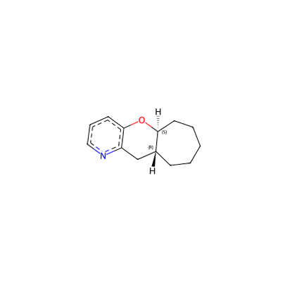 c1cnc2c(c1)O[C@H]1CCCCC[C@@H]1C2